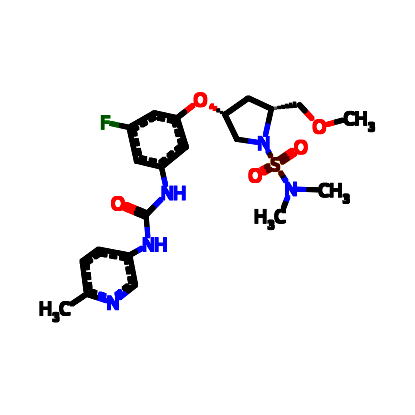 COC[C@H]1C[C@@H](Oc2cc(F)cc(NC(=O)Nc3ccc(C)nc3)c2)CN1S(=O)(=O)N(C)C